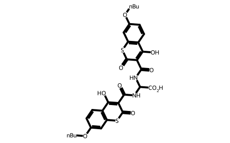 CCCCOc1ccc2c(O)c(C(=O)NC(NC(=O)c3c(O)c4ccc(OCCCC)cc4sc3=O)C(=O)O)c(=O)sc2c1